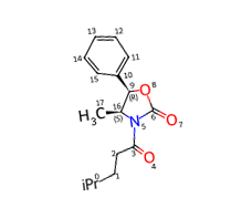 CC(C)CCC(=O)N1C(=O)O[C@H](c2ccccc2)[C@@H]1C